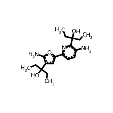 CCC(O)(CC)c1cc(-c2ccc(N)c(C(O)(CC)CC)n2)oc1N